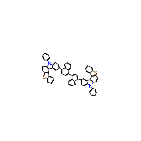 c1ccc(-n2c3ccc(-c4ccc(-c5ccc(-c6ccc7c(c6)c6c8c(ccc6n7-c6ccccc6)sc6ccccc68)c6ccccc56)c5ccccc45)cc3c3c4c(ccc32)sc2ccccc24)cc1